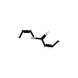 C/C=C\NC(=S)/C=C\C